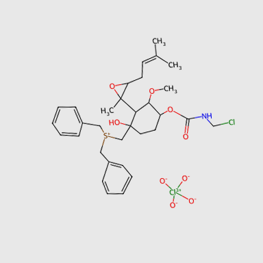 COC1C(OC(=O)NCCl)CCC(O)(C[S+](Cc2ccccc2)Cc2ccccc2)C1C1(C)OC1CC=C(C)C.[O-][Cl+3]([O-])([O-])[O-]